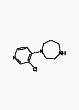 Clc1cnccc1N1CCCNCC1